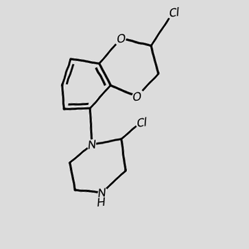 ClC1COc2c(cccc2N2CCNCC2Cl)O1